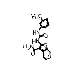 Cc1cccc(NC(=O)Nc2sc3c(c2C(N)=O)CCOC3)c1